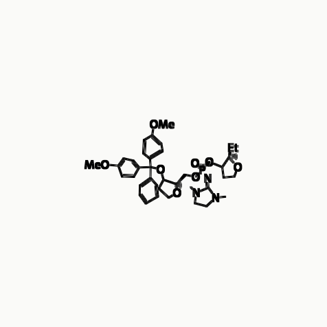 CC[C@H]1OCCC1O[P@@](=O)(N=C1N(C)CCN1C)OC[C@H]1OCCC1OC(c1ccccc1)(c1ccc(OC)cc1)c1ccc(OC)cc1